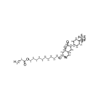 CCC(=O)OCCCCCCCCCCOc1cc2oc(=O)c(-c3ccc(S(F)(F)(F)(F)F)cc3)cc2cn1